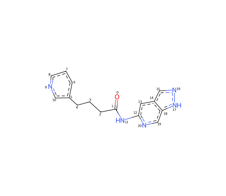 O=C(CCCc1cccnc1)Nc1cc2cn[nH]c2cn1